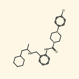 CC(CC1CCCCC1)NCc1ccccc1NC(=O)N1CCN(c2ccc(Cl)cc2)CC1